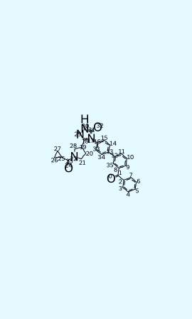 O=C(c1ccccc1)c1cccc(-c2ccc(-n3c(C4CCN(C(=O)C5CC5)C4)n[nH]c3=O)cc2)c1